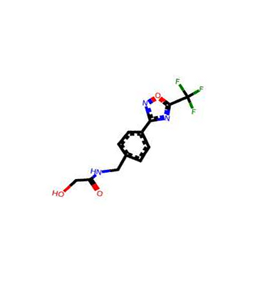 O=C(CO)NCc1ccc(-c2noc(C(F)(F)F)n2)cc1